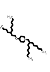 CCCCCCC(CCCC)CCOC1CCN(CC(CCCCCC)CCCCCC)CC1